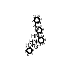 O=C(Nc1ccccc1)N[C@@H]1CCCC[C@H]1NC1CCCN(Cc2ccccc2)C1